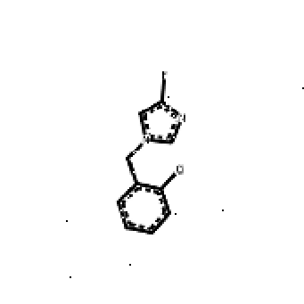 Fc1cn(Cc2ccccc2Cl)cn1